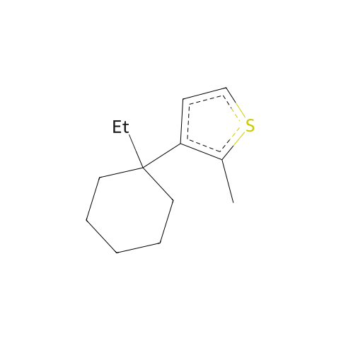 CCC1(c2ccsc2C)CCCCC1